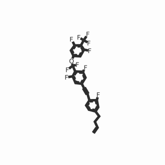 C=CCCc1ccc(C#Cc2cc(F)c(C(F)(F)Oc3cc(F)c(C(F)(F)F)c(F)c3)c(F)c2)c(F)c1